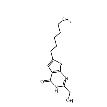 CCCCCCc1cc2c(=O)[nH]c(CO)nc2s1